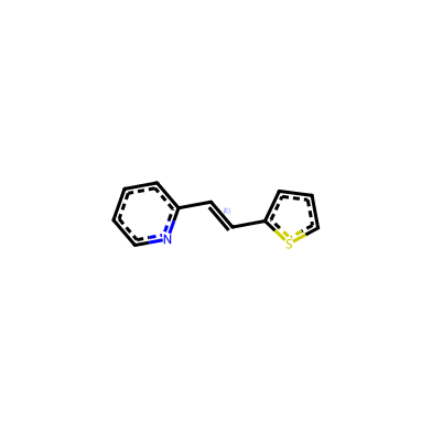 C(=C\c1cccs1)/c1ccccn1